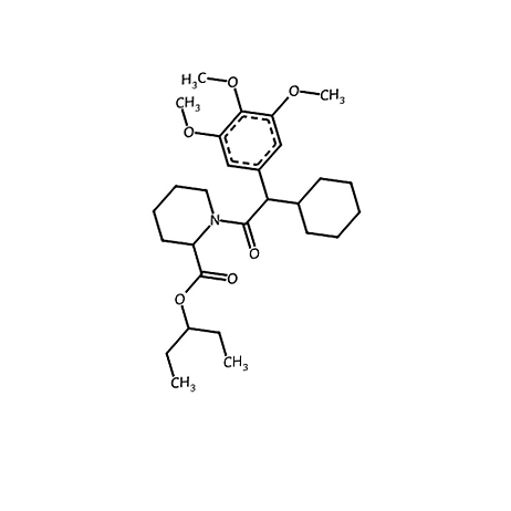 CCC(CC)OC(=O)C1CCCCN1C(=O)C(c1cc(OC)c(OC)c(OC)c1)C1CCCCC1